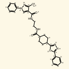 O=C(NCCNC(=O)C1CCC(c2nnc(-c3ccccc3)o2)CC1)c1cn(-c2ccccc2)nc1C(F)(F)F